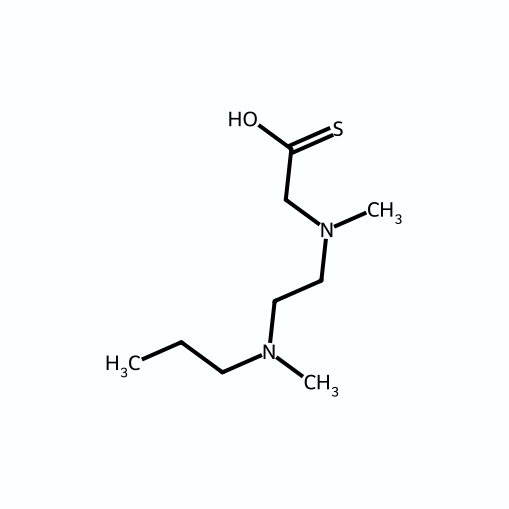 CCCN(C)CCN(C)CC(O)=S